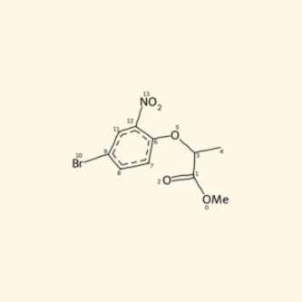 COC(=O)C(C)Oc1ccc(Br)cc1[N+](=O)[O-]